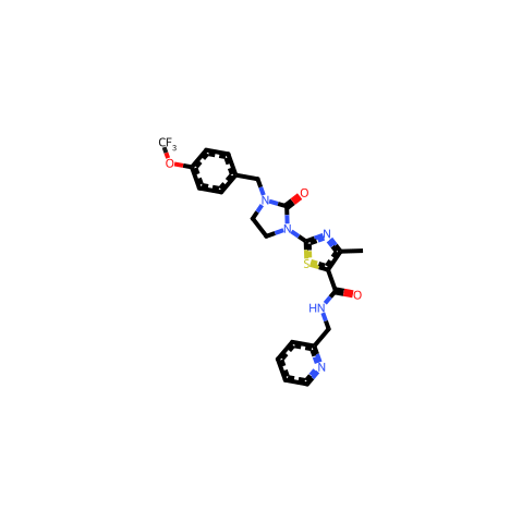 Cc1nc(N2CCN(Cc3ccc(OC(F)(F)F)cc3)C2=O)sc1C(=O)NCc1ccccn1